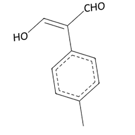 Cc1ccc(/C(C=O)=C\O)cc1